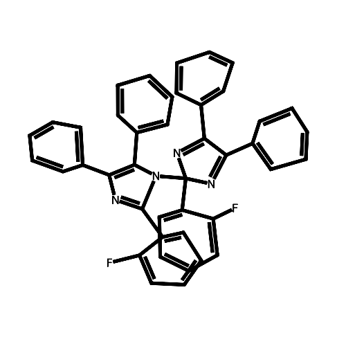 Fc1ccccc1-c1nc(-c2ccccc2)c(-c2ccccc2)n1C1(c2ccccc2F)N=C(c2ccccc2)C(c2ccccc2)=N1